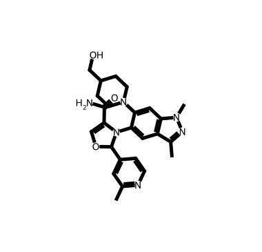 Cc1cc(C2OC=C(C(N)=O)N2c2cc3c(C)nn(C)c3cc2N2CCC(CO)CC2)ccn1